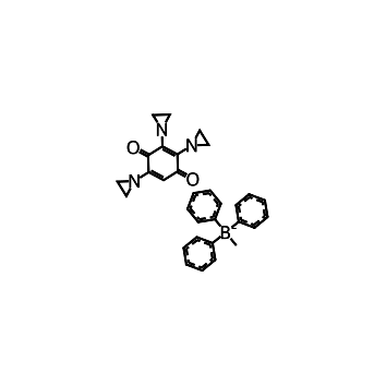 C[B-](c1ccccc1)(c1ccccc1)c1ccccc1.O=C1C=C(N2CC2)C(=O)C(N2CC2)=C1N1CC1